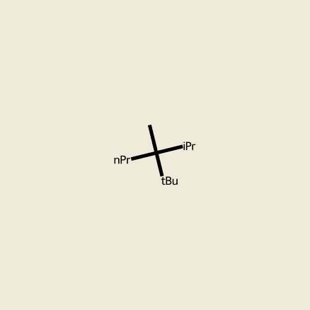 CCCC(C)(C(C)C)C(C)(C)C